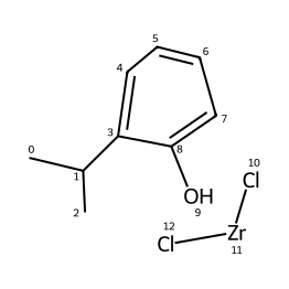 CC(C)c1ccccc1O.[Cl][Zr][Cl]